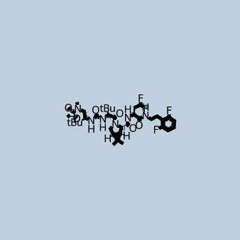 CN(C[C@@H](NC(=O)N[C@H](C(=O)N1C[C@H]2[C@@H]([C@H]1C(=O)N[C@@H](CC(F)F)C(=O)NCCc1c(F)cccc1F)C2(C)C)C(C)(C)C)C(C)(C)C)S(C)(=O)=O